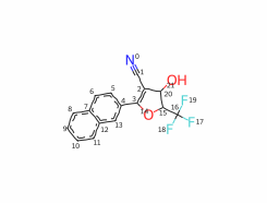 N#CC1=C(c2ccc3ccccc3c2)OC(C(F)(F)F)C1O